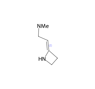 CNC/C=C1/CCN1